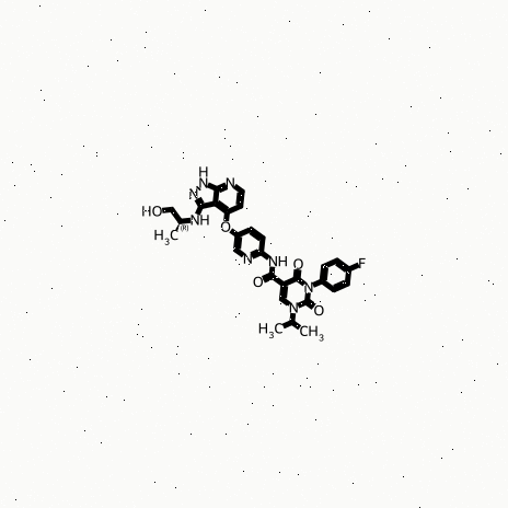 CC(C)n1cc(C(=O)Nc2ccc(Oc3ccnc4[nH]nc(N[C@H](C)CO)c34)cn2)c(=O)n(-c2ccc(F)cc2)c1=O